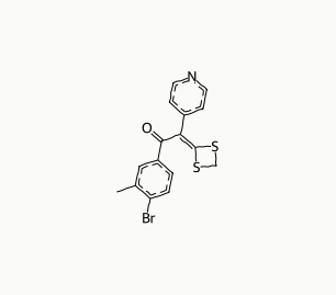 Cc1cc(C(=O)C(=C2SCS2)c2ccncc2)ccc1Br